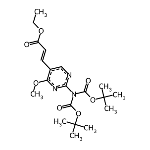 CCOC(=O)/C=C/c1cnc(N(C(=O)OC(C)(C)C)C(=O)OC(C)(C)C)nc1OC